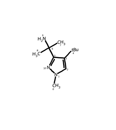 Cn1cc(C(C)(C)C)c(C(C)(C)N)n1